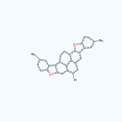 CC(C)c1cc2cc3c4cc(C(C)(C)C)ccc4oc3c3ccc4c5c(cc1c4c23)oc1ccc(C(C)(C)C)cc15